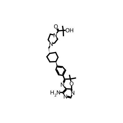 CC(C)(O)C(=O)N1CCN(C[C@H]2CC[C@H](c3ccc(C4=Nc5c(N)ncnc5OC4(C)C)cc3)CC2)CC1